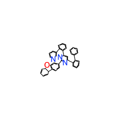 C1=CC2Oc3cc(-c4nc(-c5ccccc5-c5ccccc5)cc(-c5ccccc5-c5cccnc5)n4)ccc3C2C=C1